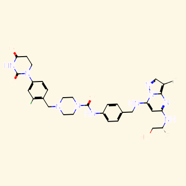 CC[C@@H](CO)Nc1cc(NCc2ccc(NC(=O)N3CCN(Cc4ccc(N5CCC(=O)NC5=O)cc4F)CC3)cc2)n2ncc(C(C)C)c2n1